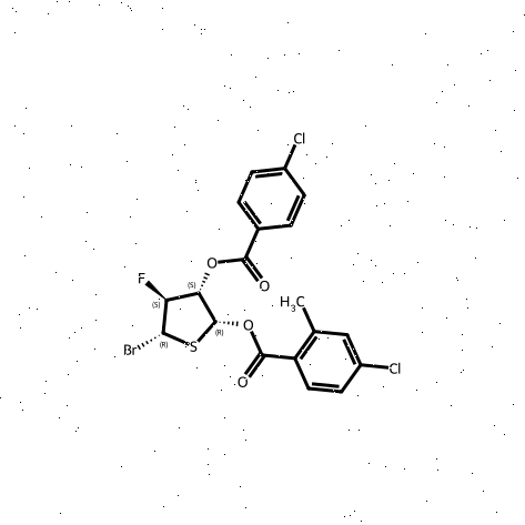 Cc1cc(Cl)ccc1C(=O)O[C@@H]1S[C@H](Br)[C@@H](F)[C@@H]1OC(=O)c1ccc(Cl)cc1